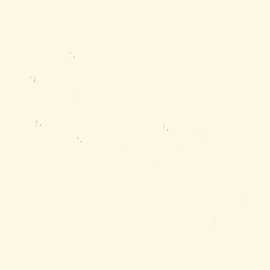 CN(c1ncnc2[nH]ccc12)C1CC(NS(=O)(=O)C2CC(F)(F)C2)C1